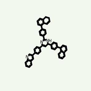 C1=Cc2c(cccc2-c2ccc(C3=NC(c4ccc(-c5cnc6ccccc6c5)cc4)=CC(c4ccc(-c5cccc6ccccc56)cc4)N3)cc2)CC1